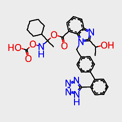 CC(O)c1nc2cccc(C(=O)OC(C)(NOC(=O)O)C3CCCCC3)c2n1Cc1ccc(-c2ccccc2-c2nnn[nH]2)cc1